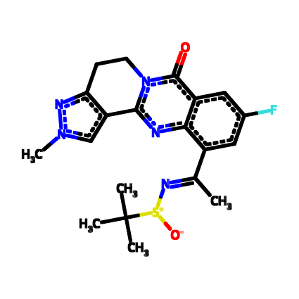 CC(=N[S+]([O-])C(C)(C)C)c1cc(F)cc2c(=O)n3c(nc12)-c1cn(C)nc1CC3